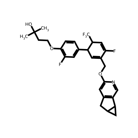 CC(C)(O)CCOc1ccc(C2C=C(COc3cc4c(cn3)C3CC3C4)C(F)=CC2C(F)(F)F)cc1F